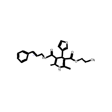 CC1=C(C(=O)NC/C=C/c2ccccc2)C(c2ccoc2)C(C(=O)OCCC#N)=C(C)N1